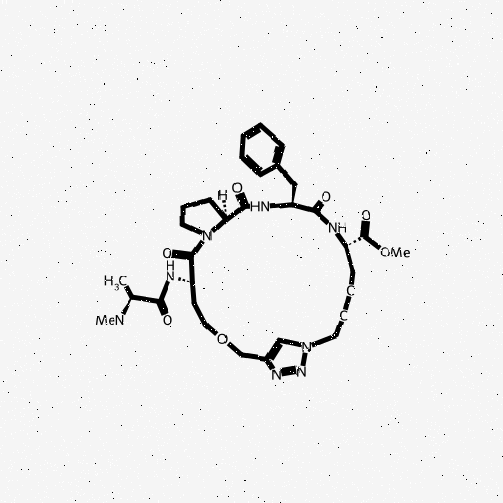 CN[C@@H](C)C(=O)N[C@H]1CCOCc2cn(nn2)CCCC[C@@H](C(=O)OC)NC(=O)[C@H](Cc2ccccc2)NC(=O)[C@@H]2CCCN2C1=O